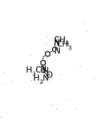 Cc1cc(C(N)=O)nn1-c1ccc(Cc2ccc(-c3cncc(CN(C)C)c3)cc2)cc1